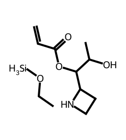 C=CC(=O)OC(C(C)O)C1CCN1.CCO[SiH3]